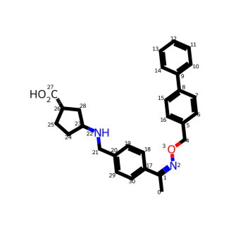 CC(=NOCc1ccc(-c2ccccc2)cc1)c1ccc(CNC2CCC(C(=O)O)C2)cc1